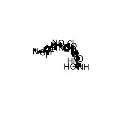 C/N=C\COc1ccc(-c2cnc(C(=O)Nc3ccc(C(=O)N4CCN(C(=O)N[C@H]5CNC[C@@H]5O)CC4)c(Cl)c3)n2C)c(F)c1F